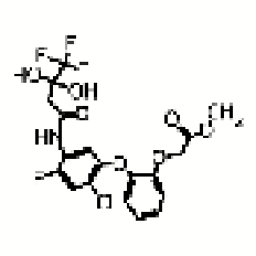 COC(=O)COc1ccccc1Oc1cc(NC(=O)CC(O)(O)C(F)(F)F)c(F)cc1Cl